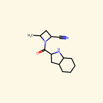 CC1CC(C#N)N1C(=O)C1CC2CCCCC2N1